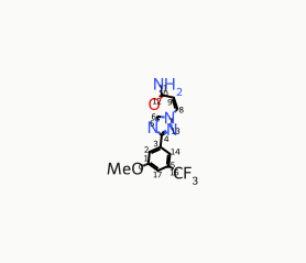 COc1cc(-c2ncn(/C=C\C(N)=O)n2)cc(C(F)(F)F)c1